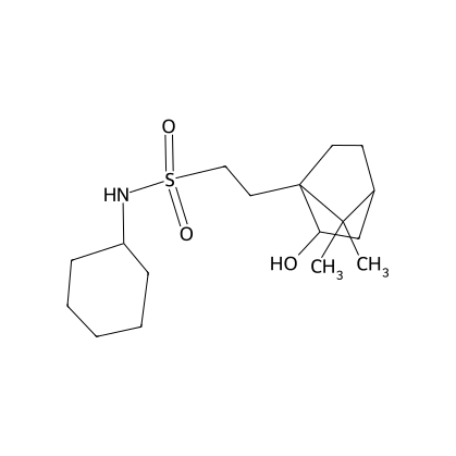 CC1(C)C2CCC1(CCS(=O)(=O)NC1CCCCC1)C(O)C2